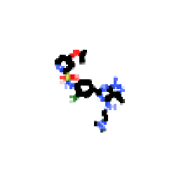 Cc1n[nH]c2nc(-c3ccc(NS(=O)(=O)c4cc(OC(C)C)ccn4)c(Cl)c3)nc(NCCN(C)C)c12